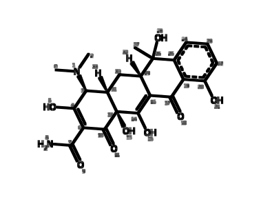 CN(C)[C@@H]1C(O)=C(C(N)=O)C(=O)[C@@]2(O)C(O)=C3C(=O)c4c(O)cccc4C(C)(O)[C@H]3C[C@@H]12